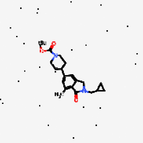 Cc1cc(C2CCN(C(=O)OC(C)(C)C)CC2)cc2c1C(=O)N(CC1CC1)C2